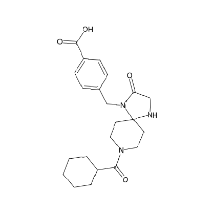 O=C(O)c1ccc(CN2C(=O)CNC23CCN(C(=O)C2CCCCC2)CC3)cc1